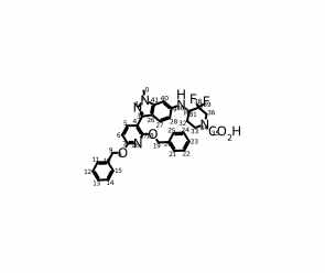 Cn1nc(-c2ccc(OCc3ccccc3)nc2OCc2ccccc2)c2ccc(N[C@@H]3CCN(C(=O)O)CC3(F)F)cc21